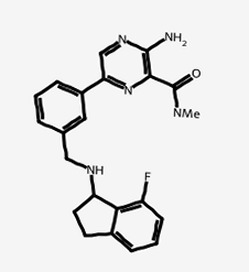 CNC(=O)c1nc(-c2cccc(CNC3CCc4cccc(F)c43)c2)cnc1N